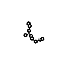 c1ccc(N(c2ccc(-c3ccc4ccccc4c3)cc2)c2ccc3cc(-c4cccc(-c5cc6ccccc6o5)c4)ccc3c2)cc1